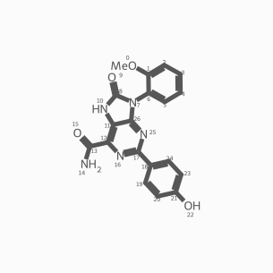 COc1ccccc1-n1c(=O)[nH]c2c(C(N)=O)nc(-c3ccc(O)cc3)nc21